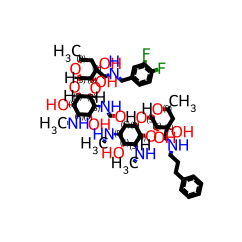 CN[C@@H]1[C@H](O)[C@H](NCO[C@H]2[C@H](NC)[C@H](O)[C@H](NC)[C@H]3O[C@]4(O)[C@H](O[C@@H]32)O[C@H](C)C[C@@]4(O)CNCCCc2ccccc2)[C@H]2O[C@]3(O)[C@H](O[C@@H]2[C@H]1O)O[C@H](C)C[C@@]3(O)CNCc1ccc(F)c(F)c1